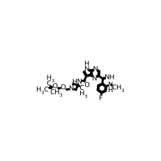 CNc1cc(F)ccc1C(=N)c1cnc2[nH]cc(C(=O)NC3(C)CN(COCOC(C)(C)C)C3)c2n1